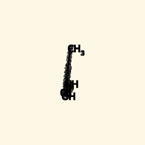 CCCCCCCCCCCCCCCCCCc1cc2cc(OC(=O)O)ccc2[nH]1